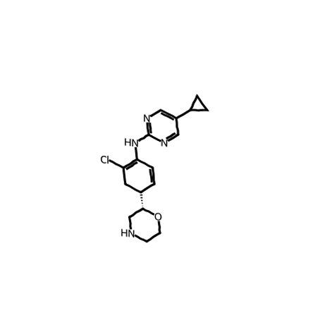 ClC1=C(Nc2ncc(C3CC3)cn2)C=CC([C@H]2CNCCO2)C1